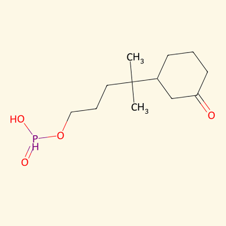 CC(C)(CCCO[PH](=O)O)C1CCCC(=O)C1